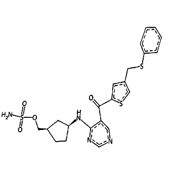 NS(=O)(=O)OC[C@@H]1CC[C@H](Nc2ncncc2C(=O)c2cc(CSc3ccccc3)cs2)C1